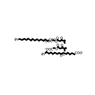 C=C(C)C(=O)CC(=O)OCC(=O)[O-].C=C(C)C(=O)CC(=O)OCC(=O)[O-].CC(C)CCCCCCCCCCCCCCC(=O)[O-].CC(C)CCCCCCCCCCCCCCC(=O)[O-].[Ti+4]